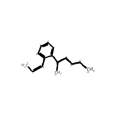 C/C=C\c1ccccc1C(C)CCCC